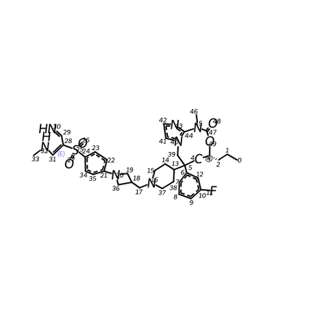 CCC[C@@H]1CC(c2cccc(F)c2)(C2CCN(CC3CN(c4ccc(S(=O)(=O)/C(C=N)=C/NC)cc4)C3)CC2)Cn2ccnc2N(C)C(=O)O1